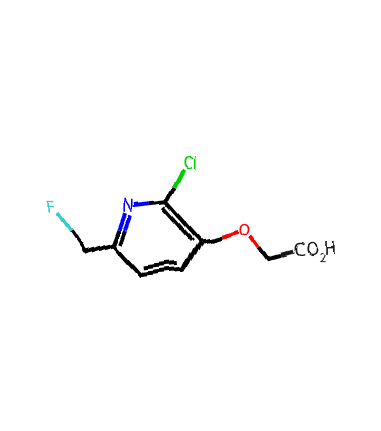 O=C(O)COc1ccc(CF)nc1Cl